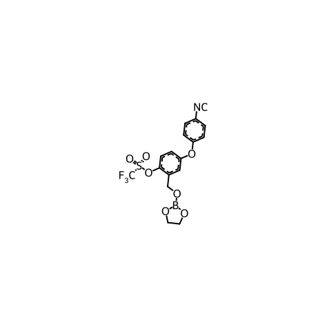 [C-]#[N+]c1ccc(Oc2ccc(OS(=O)(=O)C(F)(F)F)c(COB3OCCO3)c2)cc1